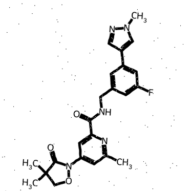 Cc1cc(N2OCC(C)(C)C2=O)cc(C(=O)NCc2cc(F)cc(-c3cnn(C)c3)c2)n1